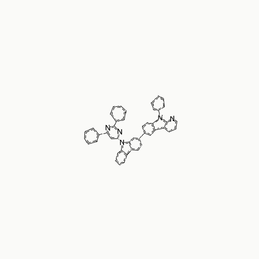 c1ccc(-c2cc(-n3c4ccccc4c4ccc(-c5ccc6c(c5)c5cccnc5n6-c5ccccc5)cc43)nc(-c3ccccc3)n2)cc1